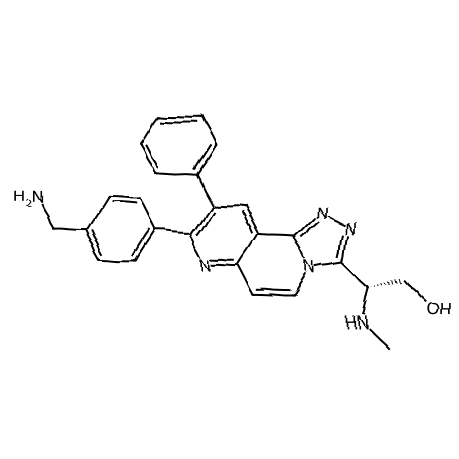 CN[C@@H](CO)c1nnc2c3cc(-c4ccccc4)c(-c4ccc(CN)cc4)nc3ccn12